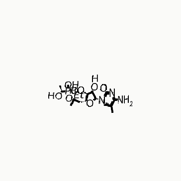 CCC(C)(C[C@H]1O[C@@H](n2cc(C)c(N)nc2=O)[C@H](O)[C@@H]1O)OP(=O)(O)[C@H](C)O